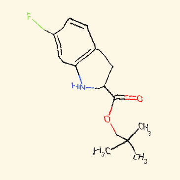 CC(C)(C)OC(=O)C1Cc2ccc(F)cc2N1